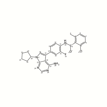 Cc1cccc(Cl)c1[S+]([O-])Nc1ccc(-c2cn(C3CCCC3)c3ncnc(N)c23)cc1F